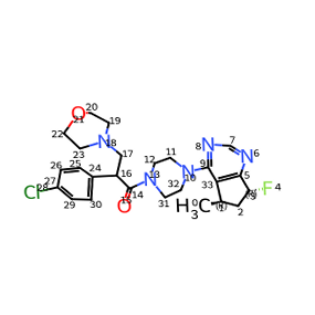 C[C@@H]1C[C@@H](F)c2ncnc(N3CCN(C(=O)C(CN4CCOCC4)c4ccc(Cl)cc4)CC3)c21